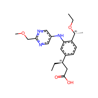 CCO[C@H](C)c1ccc([C@H](CC)CC(=O)O)cc1Nc1cnc(COC)nc1